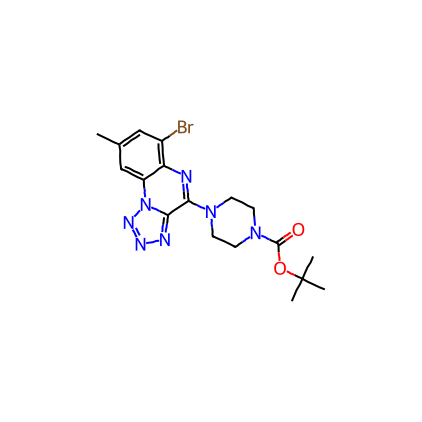 Cc1cc(Br)c2nc(N3CCN(C(=O)OC(C)(C)C)CC3)c3nnnn3c2c1